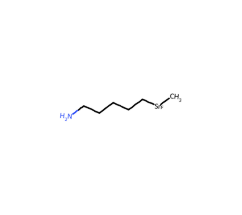 [CH3][Sn][CH2]CCCCN